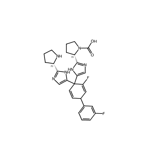 O=C(O)N1CCC[C@H]1c1ncc(C2(c3cnc([C@@H]4CCCN4)[nH]3)C=CC(c3cccc(F)c3)C=C2F)[nH]1